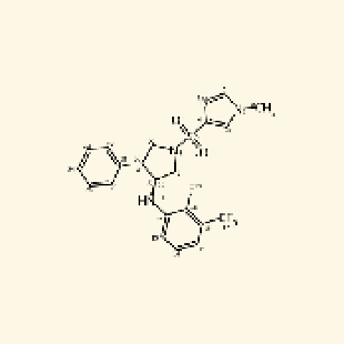 Cn1cnc(S(=O)(=O)N2C[C@@H](Nc3cccc(C(F)(F)F)c3F)[C@H](c3ccccc3)C2)c1